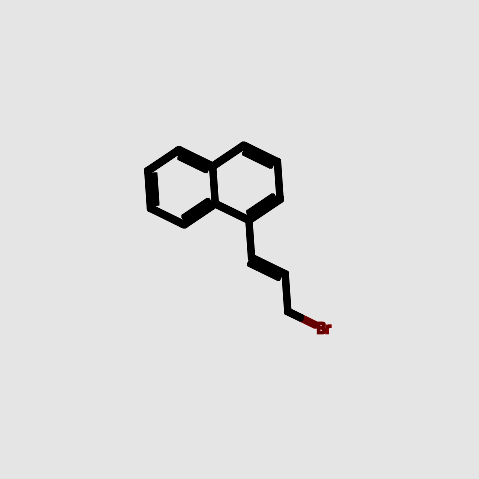 BrCC=Cc1cccc2ccccc12